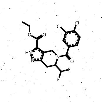 CCOC(=O)c1[nH]nc2c1CN(C(=O)c1ccc(Cl)c(Cl)c1)C(C(F)F)C2